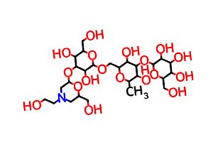 CC1OC(COC2OC(CO)C(O)C(OC3CN(CCO)CC(CO)O3)C2O)C(O)C(OC2OC(CO)C(O)C(O)C2O)C1O